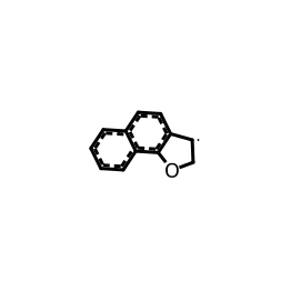 [CH]1COc2c1ccc1ccccc21